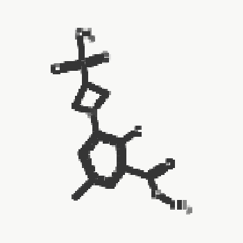 COC(=O)c1cc(F)cc(N2CC(S(C)(=O)=O)C2)c1Cl